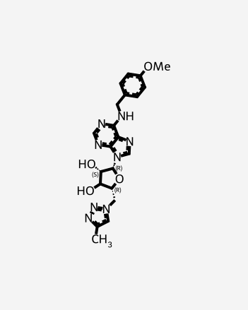 COc1ccc(CNc2ncnc3c2ncn3[C@@H]2O[C@H](Cn3cc(C)nn3)C(O)[C@@H]2O)cc1